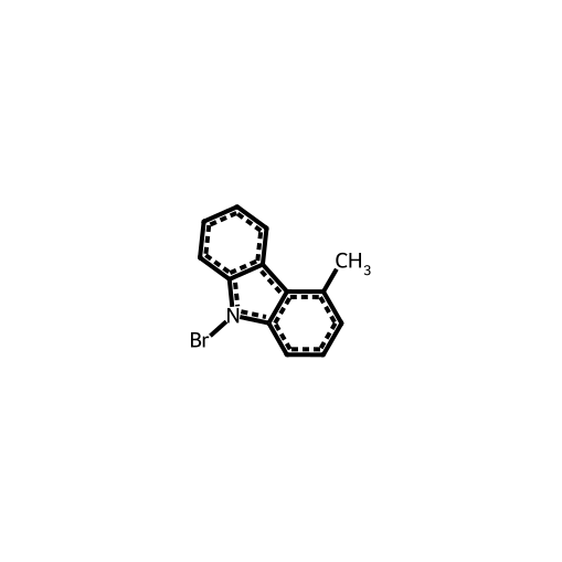 Cc1cccc2c1c1ccccc1n2Br